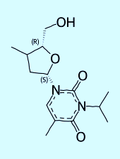 Cc1cn([C@@H]2CC(C)[C@H](CO)O2)c(=O)n(C(C)C)c1=O